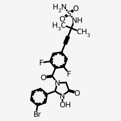 CC(C)(C#Cc1cc(F)c(C(=O)N2CC(=O)N(O)C2c2cccc(Br)c2)c(F)c1)NS(N)(=O)=O